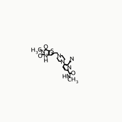 CNC(=O)c1ccc(N2CCN(Cc3cc4[nH]c(=O)n(C)c(=O)c4s3)CC2)c(C#N)n1